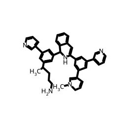 CC(CCCN)c1cc(-c2cccnc2)cc(C2NC(c3cc(C4=CN(C)CC=C4)cc(-c4cccnc4)c3)=Cc3ccccc32)c1